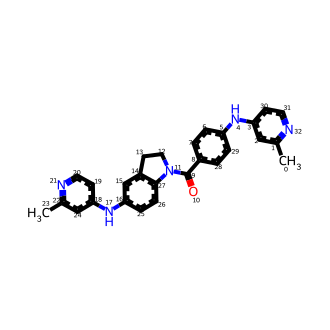 Cc1cc(Nc2ccc(C(=O)N3CCc4cc(Nc5ccnc(C)c5)ccc43)cc2)ccn1